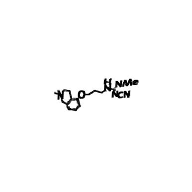 CNC(=NC#N)NCCCOc1cccc2c1CCN(C)C2